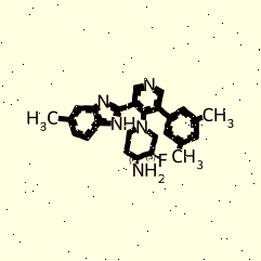 Cc1cc(C)cc(-c2cncc(-c3nc4cc(C)ccc4[nH]3)c2N2CC[C@@H](N)[C@@H](F)C2)c1